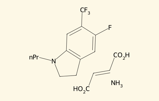 CCCN1CCc2cc(F)c(C(F)(F)F)cc21.N.O=C(O)C=CC(=O)O